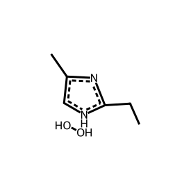 CCc1nc(C)c[nH]1.OO